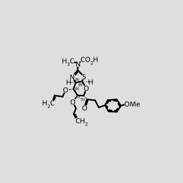 C=CCO[C@@H]1[C@H]2N=C(N(C)C(=O)O)S[C@H]2O[C@H](C(=O)CCc2ccc(OC)cc2)[C@H]1OCC=C